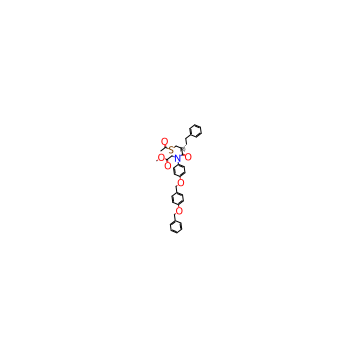 COC(=O)CN(C(=O)[C@@H](CCc1ccccc1)CSC(C)=O)c1ccc(OCc2ccc(OCc3ccccc3)cc2)cc1